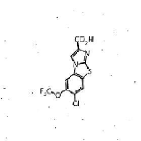 O=C(O)c1cn2c(n1)sc1cc(Cl)c(OC(F)(F)F)cc12